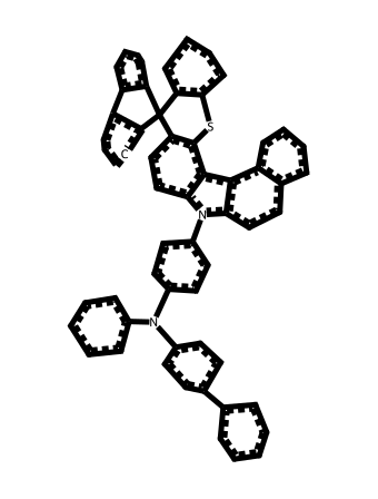 c1ccc(-c2ccc(N(c3ccccc3)c3ccc(-n4c5ccc6c(c5c5c7ccccc7ccc54)Sc4ccccc4C64c5ccccc5-c5ccccc54)cc3)cc2)cc1